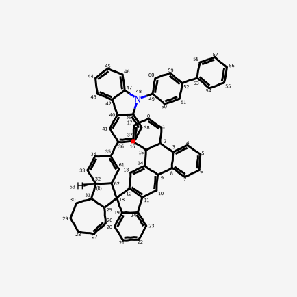 C1=CC2c3ccccc3-c3cc4c(cc3C2C=C1)C1(c2ccccc2-4)C2C=CCCCC2[C@@H]2C=CC(c3ccc4c(c3)c3ccccc3n4-c3ccc(-c4ccccc4)cc3)=CC21